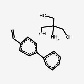 C=Cc1ccc(-c2ccccc2)cc1.NC(CO)(CO)CO